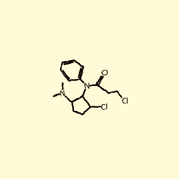 CN(C)C1CCC(Cl)C1N(C(=O)CCCl)c1ccccc1